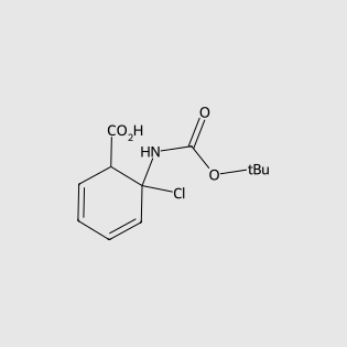 CC(C)(C)OC(=O)NC1(Cl)C=CC=CC1C(=O)O